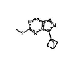 CSc1ncc2cnc(C34CC(C3)C4)n2n1